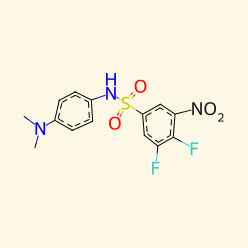 CN(C)c1ccc(NS(=O)(=O)c2cc(F)c(F)c([N+](=O)[O-])c2)cc1